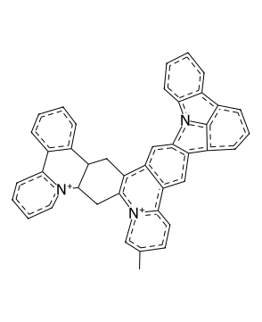 Cc1ccc2c3cc4c5cccc6c7ccccc7n(c4cc3c3c([n+]2c1)CC1C(C3)c2ccccc2-c2cccc[n+]21)c65